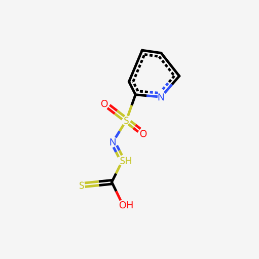 O=S(=O)(N=[SH]C(O)=S)c1ccccn1